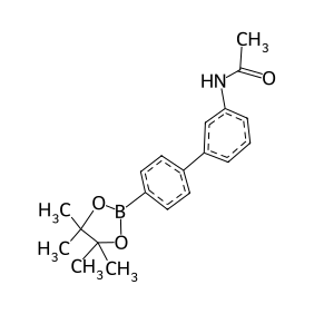 CC(=O)Nc1cccc(-c2ccc(B3OC(C)(C)C(C)(C)O3)cc2)c1